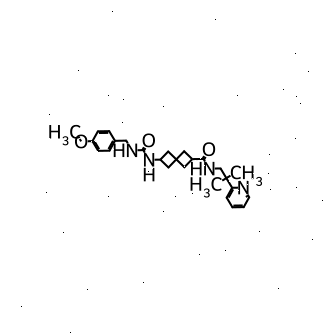 COc1ccc(CNC(=O)NC2CC3(C2)CC(C(=O)NCC(C)(C)c2ccccn2)C3)cc1